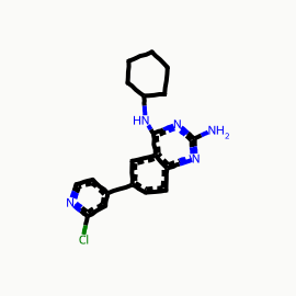 Nc1nc(NC2CCCCC2)c2cc(-c3ccnc(Cl)c3)ccc2n1